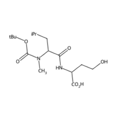 CC(C)CC(C(=O)NC(CCO)C(=O)O)N(C)C(=O)OC(C)(C)C